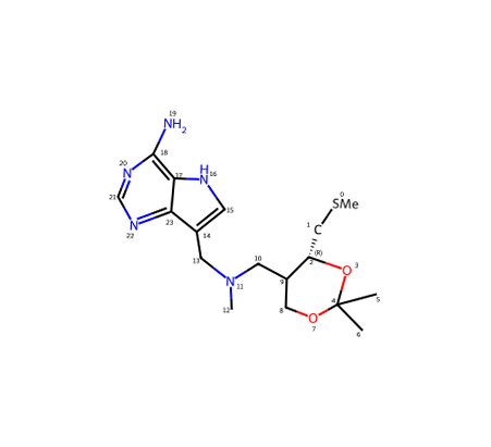 CSC[C@@H]1OC(C)(C)OCC1CN(C)Cc1c[nH]c2c(N)ncnc12